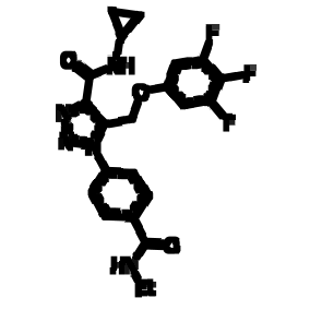 CCNC(=O)c1ccc(-n2nnc(C(=O)NC3CC3)c2COc2cc(F)c(F)c(F)c2)cc1